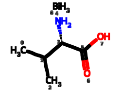 CC(C)[C@H](N)C(=O)O.[BiH3]